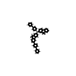 CC1(C)c2ccccc2-c2ccc(N(c3ccc(-c4ccccc4)cc3)c3ccc4c(c3)C(C)(C)c3ccc(-c5ccc(-c6ccccc6)cc5)cc3-4)cc21